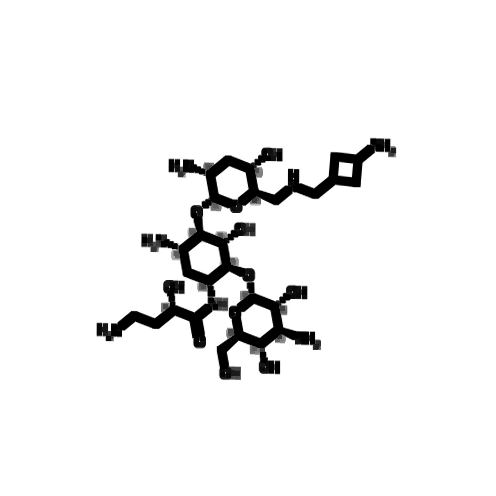 NCC[C@H](O)C(=O)N[C@@H]1C[C@H](N)[C@@H](O[C@H]2O[C@H](CNCC3CC(N)C3)[C@@H](O)C[C@H]2N)[C@H](O)[C@H]1O[C@H]1O[C@H](CO)[C@@H](O)[C@H](N)[C@H]1O